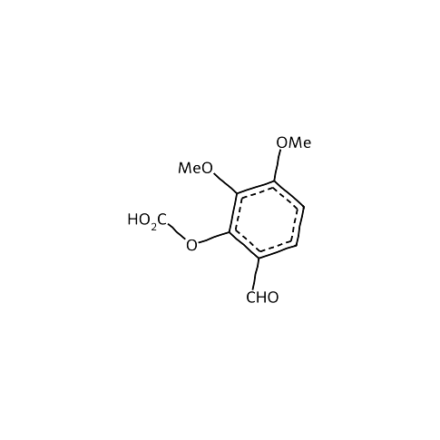 COc1ccc(C=O)c(OC(=O)O)c1OC